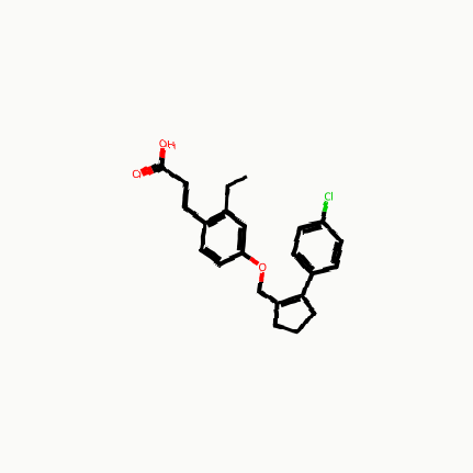 CCc1cc(OCC2=C(c3ccc(Cl)cc3)CCC2)ccc1CCC(=O)O